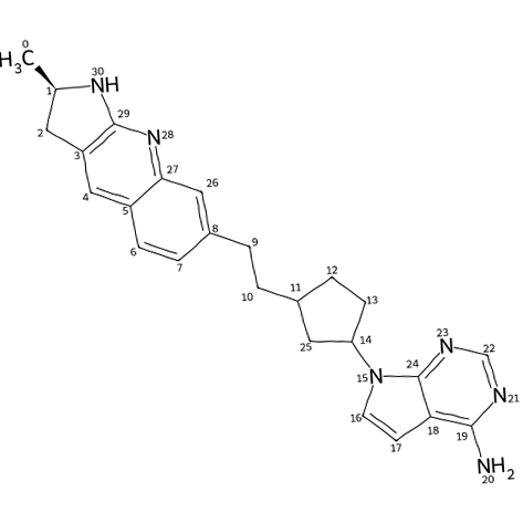 C[C@@H]1Cc2cc3ccc(CCC4CCC(n5ccc6c(N)ncnc65)C4)cc3nc2N1